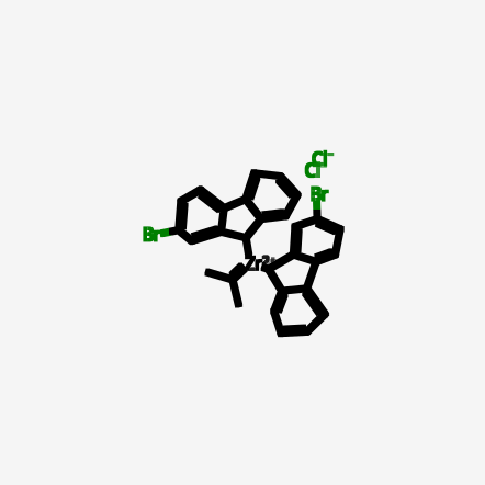 C[C](C)=[Zr+2]([CH]1c2ccccc2-c2ccc(Br)cc21)[CH]1c2ccccc2-c2ccc(Br)cc21.[Cl-].[Cl-]